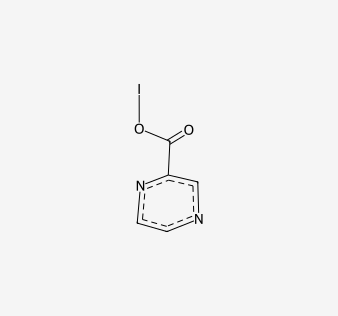 O=C(OI)c1cnccn1